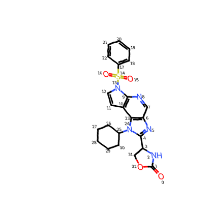 O=C1NC(c2nc3cnc4c(ccn4S(=O)(=O)c4ccccc4)c3n2C2CCCCC2)CO1